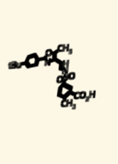 Cc1ccc(S(=O)(=O)NCCc2nc(-c3ccc(C(C)(C)C)cc3)oc2C)cc1C(=O)O